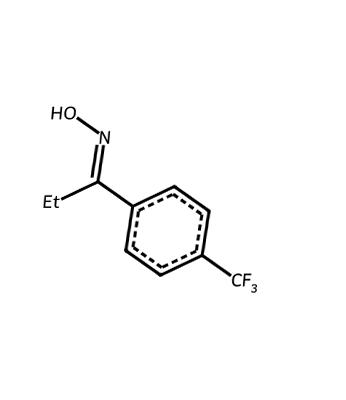 CC/C(=N\O)c1ccc(C(F)(F)F)cc1